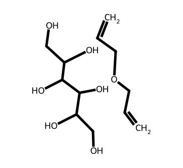 C=CCOCC=C.OCC(O)C(O)C(O)C(O)CO